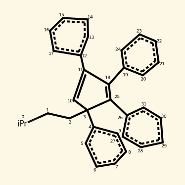 CC(C)CCC1(c2ccccc2)[C]=C(c2ccccc2)C(c2ccccc2)=C1c1ccccc1